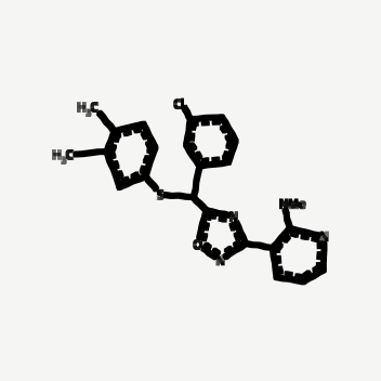 CNc1ncccc1-c1noc(C(Sc2ccc(C)c(C)c2)c2cccc(Cl)c2)n1